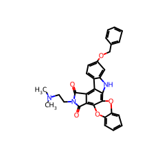 CN(C)CCn1c(=O)c2c3oc4ccccc4oc3c3[nH]c4cc(OCc5ccccc5)ccc4c3c2c1=O